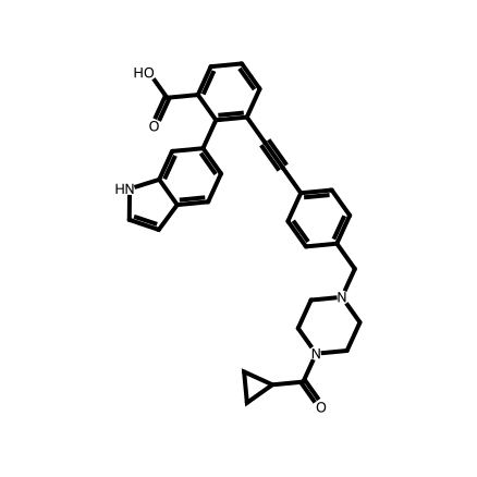 O=C(O)c1cccc(C#Cc2ccc(CN3CCN(C(=O)C4CC4)CC3)cc2)c1-c1ccc2cc[nH]c2c1